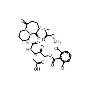 COC(=O)N[C@H]1CCC(=O)N2CCC[C@@H](C(=O)N[C@@H](CC(=O)O)C(=O)COC(=O)c3c(Cl)cccc3Cl)N2C1=O